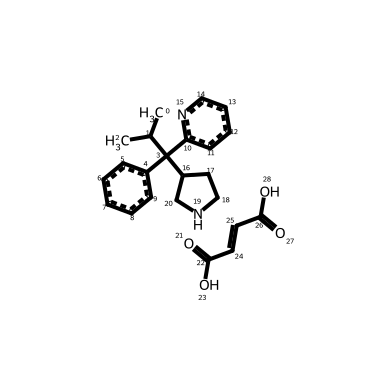 CC(C)C(c1ccccc1)(c1ccccn1)C1CCNC1.O=C(O)C=CC(=O)O